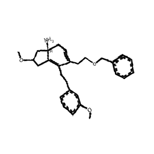 COc1cccc(CCC2=C3CC(OC)C[C@]3(N)CC=C2CCOCc2ccccc2)c1